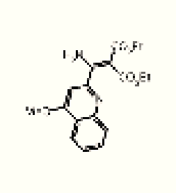 CCOC(=O)C(C(=O)OCC)=C(N)c1cc(OC)c2ccccc2n1